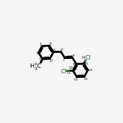 Cc1cccc(CC=Cc2c(Cl)cccc2Cl)c1